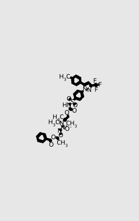 Cc1ccc(-c2cc(C(F)(F)F)nn2-c2ccc(S(=O)(=O)NC(=O)OCC(C)(C)N(C)[N+]([O-])=NOC(C)OC(=O)c3ccccc3)cc2)cc1